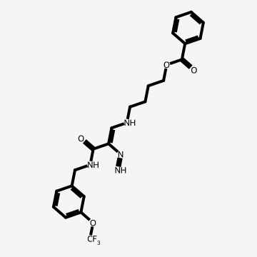 N=N/C(=C\NCCCCOC(=O)c1ccccc1)C(=O)NCc1cccc(OC(F)(F)F)c1